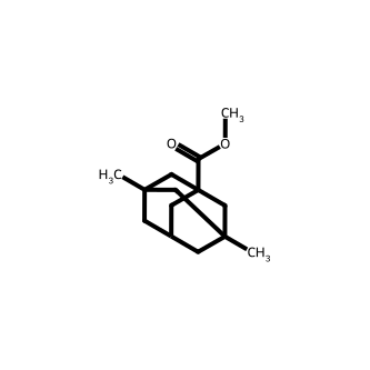 COC(=O)C12CC3CC(C)(CC(C)(C3)C1)C2